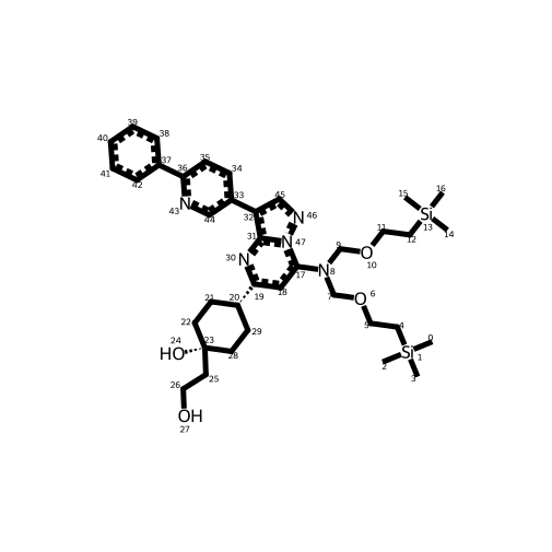 C[Si](C)(C)CCOCN(COCC[Si](C)(C)C)c1cc([C@H]2CC[C@](O)(CCO)CC2)nc2c(-c3ccc(-c4ccccc4)nc3)cnn12